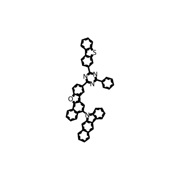 c1ccc(-c2nc(-c3ccc4c(c3)sc3ccccc34)nc(-c3ccc4oc5c6ccccc6c(-n6c7ccccc7c7cc8ccccc8cc76)cc5c4c3)n2)cc1